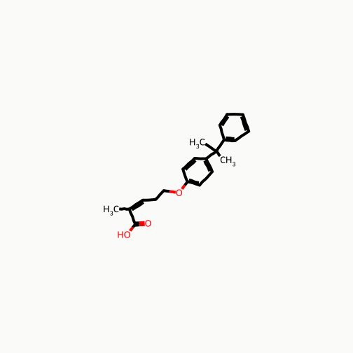 CC(=CCCOc1ccc(C(C)(C)c2ccccc2)cc1)C(=O)O